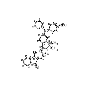 CC(C)(C)c1ccc(N(c2ccccc2)c2ccc3c(c2)C(C)(C)c2cc(C=C4C(=O)c5ccccc5C4=O)oc2-3)cn1